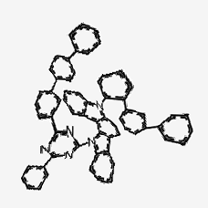 c1ccc(-c2ccc(-c3cccc(-c4nc(-c5ccccc5)nc(-n5c6ccccc6c6ccc7c(c8ccccc8n7-c7ccccc7-c7cccc(-c8ccccc8)c7)c65)n4)c3)cc2)cc1